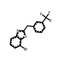 FC(F)(F)c1cccc(Cc2nc3cccc(Br)c3s2)c1